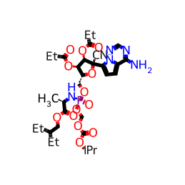 CCC(=O)O[C@H]1[C@@H](OC(=O)CC)[C@](C#N)(c2ccc3c(N)ncnn23)O[C@@H]1CO[P@@](=O)(N[C@@H](C)C(=O)OCC(CC)CC)OCOC(=O)OC(C)C